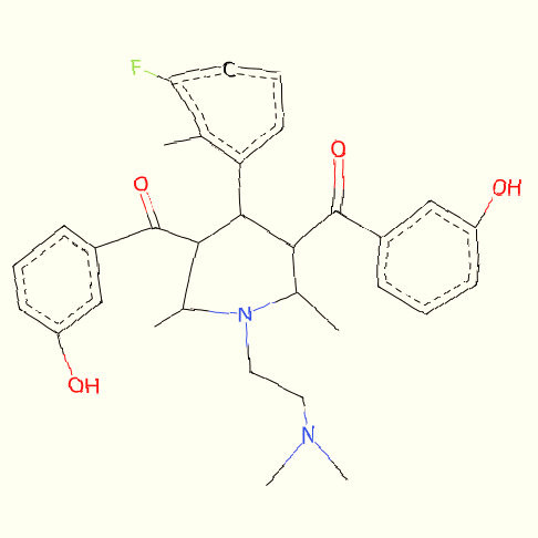 Cc1c(F)cccc1C1C(C(=O)c2cccc(O)c2)C(C)N(CCN(C)C)C(C)C1C(=O)c1cccc(O)c1